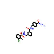 Cc1c(Cl)cccc1S(=O)(=O)NCc1cccc(C(=O)NCc2ccc(C(N)=O)cc2)c1